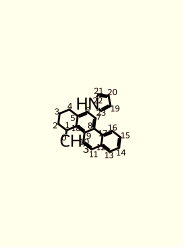 CC1CCCc2ccc3c(ccc4ccccc43)c21.c1cc[nH]c1